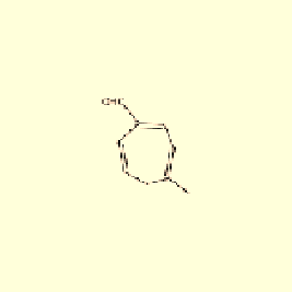 CC1=CC=C(C=O)C=CC1